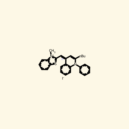 CCCCC1=C/C(=C/c2sc3ccccc3[n+]2C)c2ccccc2N1c1ccccc1.[I-]